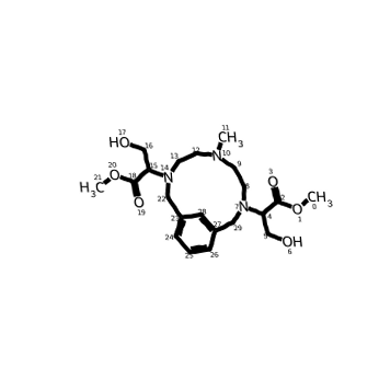 COC(=O)C(CO)N1CCN(C)CCN(C(CO)C(=O)OC)Cc2cccc(c2)C1